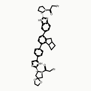 CC(C)CC(=O)N1CC2(C[C@H]1c1ncc(-c3ccc(-c4ccc(-c5ccc6nc([C@@H]7CCCN7C(=O)CC(C)C)[nH]c6c5)c5c4C4CCC4C5)cc3)[nH]1)OCCO2